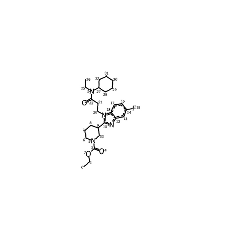 CCOC(=O)N1CCCC(c2nc3cc(F)ccc3n2CCC(=O)N(CC)C2CCCCC2)C1